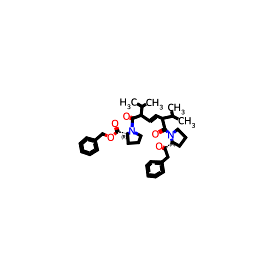 CC(C)C(C=CC(C(=O)N1CCC[C@@H]1C(=O)OCc1ccccc1)C(C)C)C(=O)N1CCC[C@@H]1C(=O)Cc1ccccc1